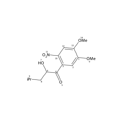 COc1cc(C(=O)C(O)CC(C)C)c([N+](=O)[O-])cc1OC